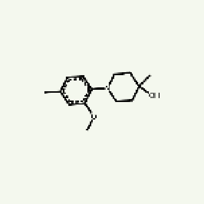 COc1cc(C)ccc1N1CCC(C)(O)CC1